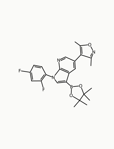 Cc1noc(C)c1-c1cnc2c(c1)c(B1OC(C)(C)C(C)(C)O1)cn2-c1ccc(F)cc1F